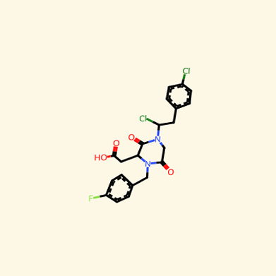 O=C(O)CC1C(=O)N(C(Cl)Cc2ccc(Cl)cc2)CC(=O)N1Cc1ccc(F)cc1